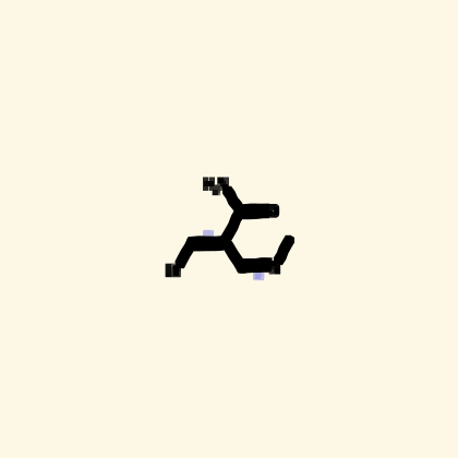 CC/C=C(\C=N/C)C(N)=O